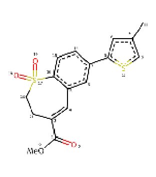 COC(=O)C1=Cc2cc(-c3cc(C)cs3)ccc2S(=O)(=O)CC1